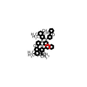 CC(C)(C)c1ccc(N2c3cc(-c4ccccc4)cc4c3B(c3cc5c(cc3N4c3ccc4oc6ccccc6c4c3)C(C)(C)CCC5(C)C)c3ccc4oc5cc6c(cc5c4c32)C(C)(C)CCC6(C)C)c(-c2ccccc2)c1